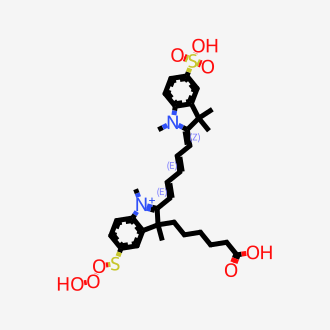 CN1\C(=C/C=C/C=C/C2=[N+](C)c3ccc(SOOO)cc3C2(C)CCCCCC(=O)O)C(C)(C)c2cc(S(=O)(=O)O)ccc21